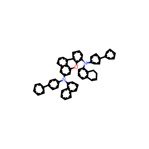 C1=Cc2cccc(N(c3ccc(-c4ccccc4)cc3)c3cccc4c3Oc3cc(N(c5ccc(-c6ccccc6)cc5)c5cccc6ccccc56)cc5cccc-4c35)c2CC1